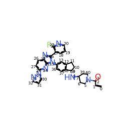 C=CC(=O)N1CCC(N[C@H]2CCc3cc(-n4c(-c5cccnc5F)nc5ccc(-n6cccn6)nc54)ccc32)CC1